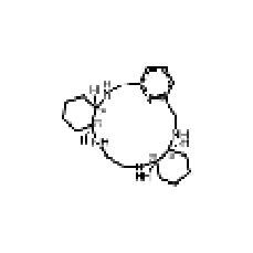 c1cc2nc(c1)CN[C@H]1CCCC[C@@H]1NCCN[C@H]1CCCC[C@@H]1NC2